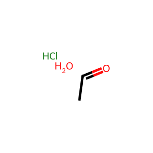 CC=O.Cl.O